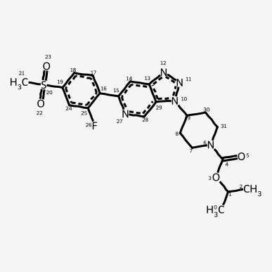 CC(C)OC(=O)N1CCC(n2nnc3cc(-c4ccc(S(C)(=O)=O)cc4F)ncc32)CC1